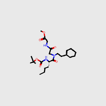 CCCC[C@H](NC(=O)OC(C)(C)C)C(=O)N(CCC1CCCCC1)CC(=O)NCC(=O)OC